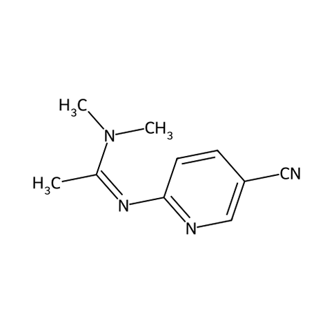 CC(=Nc1ccc(C#N)cn1)N(C)C